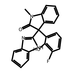 CN1C(=O)C(c2nc3ccccc3[nH]2)(c2cccc(F)c2O)c2ccccc21